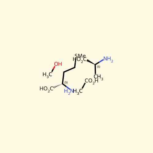 CC(=O)O.CO.CSCC[C@H](N)C(=O)O.C[C@H](N)C(=O)O